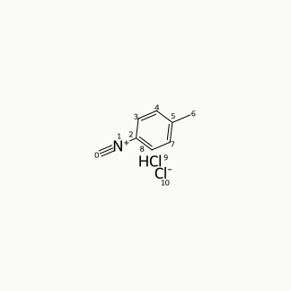 C#[N+]c1ccc(C)cc1.Cl.[Cl-]